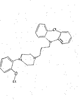 CCOc1ccccc1N1CCN(CCCN2c3ccccc3Oc3ccccc32)CC1